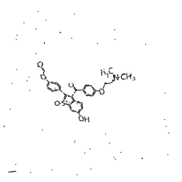 CN(C)CCOc1ccc(C(=O)c2c(-c3ccc(OC=O)cc3)[s+]([O-])c3cc(O)ccc23)cc1